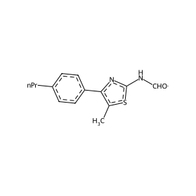 CCCc1ccc(-c2nc(N[C]=O)sc2C)cc1